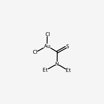 CCN(CC)[C](=S)[Au]([Cl])[Cl]